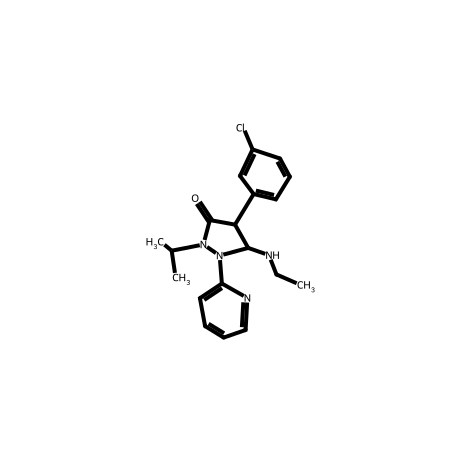 CCNC1C(c2cccc(Cl)c2)C(=O)N(C(C)C)N1c1ccccn1